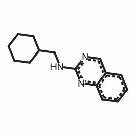 c1ccc2nc(NCC3CCCCC3)ncc2c1